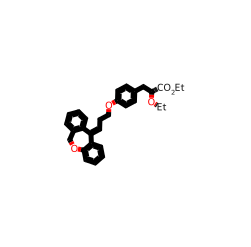 CCOC(=O)C(Cc1ccc(OCC/C=C2\c3ccccc3COc3ccccc32)cc1)OCC